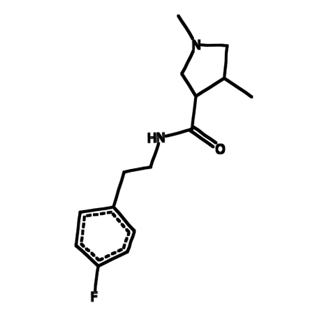 CC1CN(C)CC1C(=O)NCCc1ccc(F)cc1